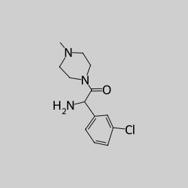 CN1CCN(C(=O)C(N)c2cccc(Cl)c2)CC1